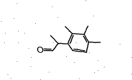 Cc1ccc(C(C)C=O)c(C)c1C